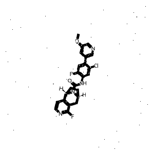 COc1cncc(-c2cc(F)c(NC(=O)N3[C@H]4CC[C@@H]3c3ccnc(F)c3C4)cc2Cl)c1